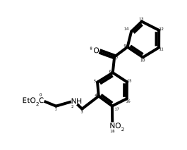 CCOC(=O)CNCc1cc(C(=O)c2ccccc2)ccc1[N+](=O)[O-]